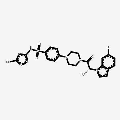 Cc1nsc(NS(=O)(=O)c2ccc(N3CCN(C(=O)[C@@H](C)n4ccc5ccc(F)cc54)CC3)cc2)n1